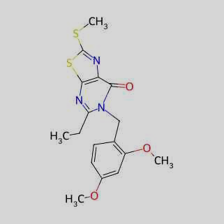 CCc1nc2sc(SC)nc2c(=O)n1Cc1ccc(OC)cc1OC